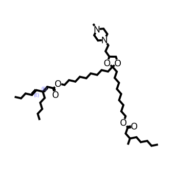 CCC/C=C/C(=C/C(=O)OCCCCCCCCCC1(CCCCCCCCCOC(=O)CC(C)CCCCC)OCC(CCN2CCN(C)CC2)O1)CCCCC